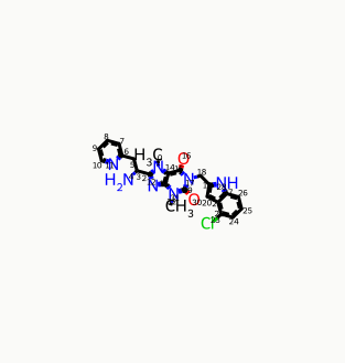 Cn1c(C(N)Cc2ccccn2)nc2c1c(=O)n(Cc1cc3c(Cl)cccc3[nH]1)c(=O)n2C